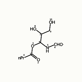 CCCC(=O)OC(N[C]=O)C(O)CO